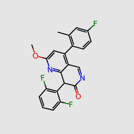 COc1cc(-c2ccc(F)cc2C)c2c(n1)C(c1c(F)cccc1F)C(=O)N=C2